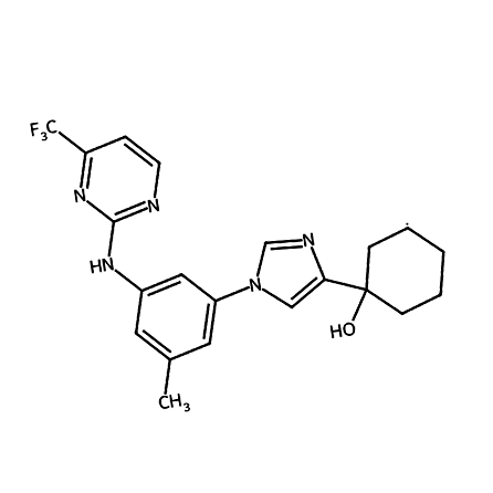 Cc1cc(Nc2nccc(C(F)(F)F)n2)cc(-n2cnc(C3(O)C[CH]CCC3)c2)c1